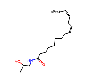 CCCCC/C=C\C/C=C\CCCCCCCC(=O)NCC(C)O